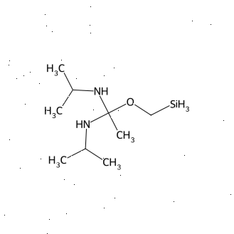 CC(C)NC(C)(NC(C)C)OC[SiH3]